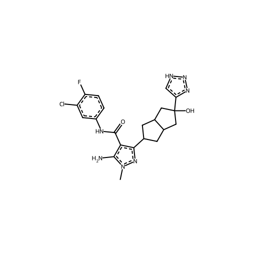 Cn1nc(C2CC3CC(O)(c4c[nH]nn4)CC3C2)c(C(=O)Nc2ccc(F)c(Cl)c2)c1N